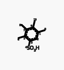 Cc1cc(S(=O)(=O)O)c(C)c(C)c1C